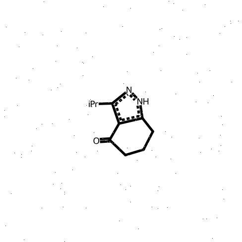 CC(C)c1n[nH]c2c1C(=O)CCC2